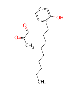 CC(=O)C=O.CCCCCCCCCc1ccccc1O